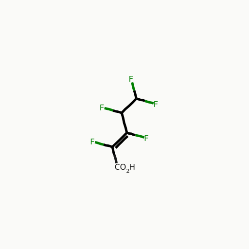 O=C(O)C(F)=C(F)C(F)C(F)F